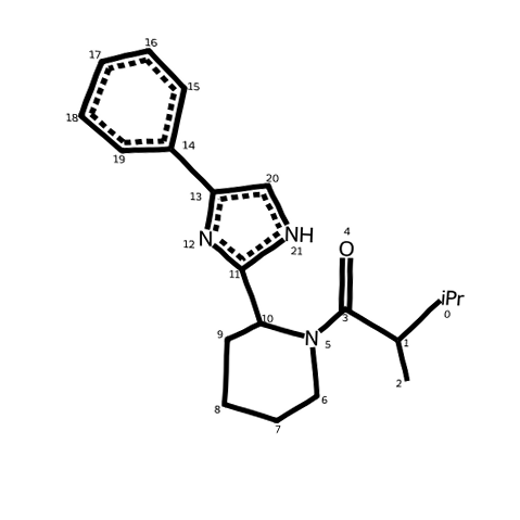 CC(C)C(C)C(=O)N1CCCCC1c1nc(-c2ccccc2)c[nH]1